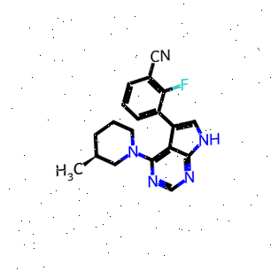 C[C@H]1CCCN(c2ncnc3[nH]cc(-c4cccc(C#N)c4F)c23)C1